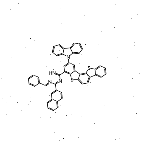 N=C(/N=C(\N=C\c1ccccc1)c1ccc2ccccc2c1)c1cc(-n2c3ccccc3c3ccccc32)cc2c1sc1ccc3c4ccccc4sc3c12